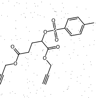 C#CCOC(=O)CCC(OS(=O)(=O)c1ccc(C)cc1)C(=O)OCC#C